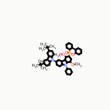 COc1c(P2(=O)Oc3ccccc3-c3ccccc32)cc(OC)c2c1c1cc(-n3c4ccc(C(C)(C)C)cc4c4cc(C(C)(C)C)ccc43)ccc1n2-c1ccccc1